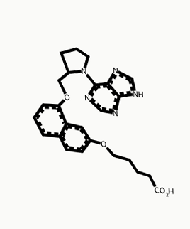 O=C(O)CCCCOc1ccc2cccc(OCC3CCCN3c3ncnc4[nH]cnc34)c2c1